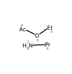 CC(C)N.CCOC(C)=O